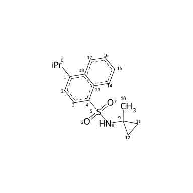 CC(C)c1ccc(S(=O)(=O)NC2(C)CC2)c2ccccc12